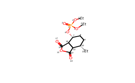 CCOP(=O)(OCC)O[C@@H]1CC[C@H](CC)C2C(=O)OC(=O)C21